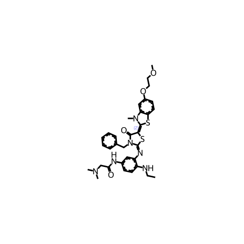 CCNc1ccc(NC(=O)CN(C)C)cc1N=C1S/C(=C2\Sc3ccc(OCCOC)cc3N2C)C(=O)N1Cc1ccccc1